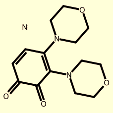 O=C1C=CC(N2CCOCC2)=C(N2CCOCC2)C1=O.[N]